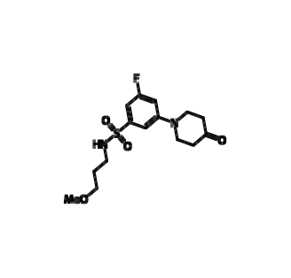 COCCCNS(=O)(=O)c1cc(F)cc(N2CCC(=O)CC2)c1